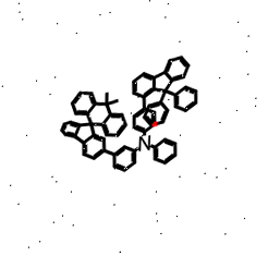 CC1(C)c2ccccc2C2(c3ccccc3-c3ccc(-c4cccc(N(c5ccccc5)c5ccc(-c6cccc7c6C(c6ccccc6)(c6ccccc6)c6ccccc6-7)cc5)c4)cc32)c2ccccc21